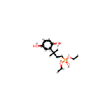 CCOP(=O)(CCC(C)(C)c1cc(O)ccc1O)OCC